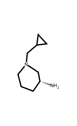 N[C@@H]1CCCN(CC2CC2)C1